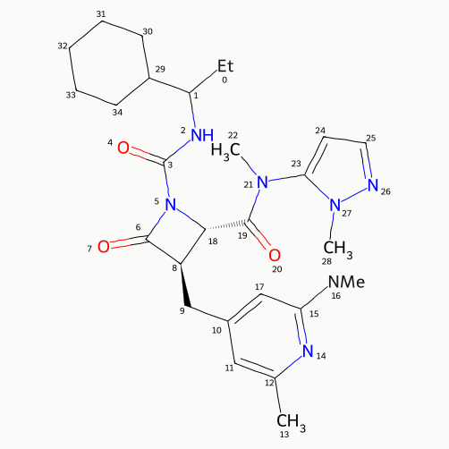 CCC(NC(=O)N1C(=O)[C@H](Cc2cc(C)nc(NC)c2)[C@H]1C(=O)N(C)c1ccnn1C)C1CCCCC1